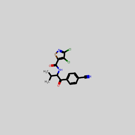 CC(C)C(NC(=O)c1snc(Cl)c1Cl)C(=O)c1ccc(C#N)cc1